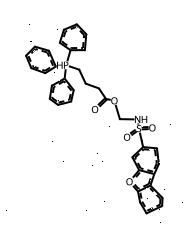 O=C(CCC[PH](c1ccccc1)(c1ccccc1)c1ccccc1)OCNS(=O)(=O)c1ccc2c(c1)oc1ccccc12